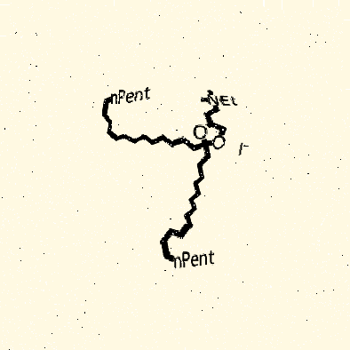 CCCCC/C=C\C/C=C\CCCCCCCCC1(CCCCCCCC/C=C\C/C=C\CCCCC)OCC(CC[N+](C)(C)CC)O1.[I-]